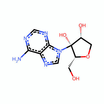 Nc1ncnc2c1ncn2[C@@]1(O)[C@H](O)CO[C@@H]1CO